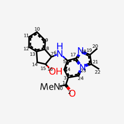 CNC(=O)c1cc(NC2c3ccccc3CC2O)c2nc(C)c(C)n2c1